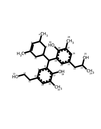 CC1=CC(C)CC(C(c2cc(CCO)cc(C)c2O)c2cc(CC(C)O)cc(C)c2O)C1